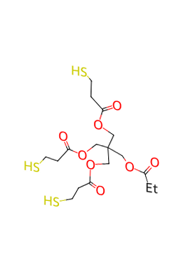 CCC(=O)OCC(COC(=O)CCS)(COC(=O)CCS)COC(=O)CCS